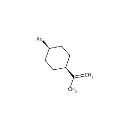 C=C(C)[C@H]1CC[C@@H](C(C)=O)CC1